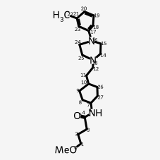 COCCCC(=O)NC1CCC(CCN2CCN(c3cccc(C)c3)CC2)CC1